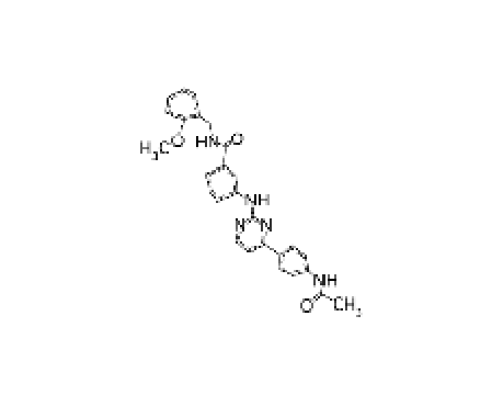 COc1ccccc1CNC(=O)c1cccc(Nc2nccc(-c3ccc(NC(C)=O)cc3)n2)c1